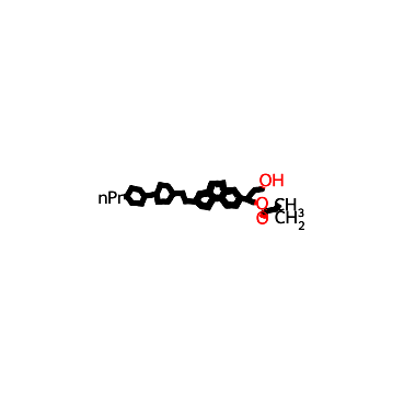 C=C(C)C(=O)OCC(CCO)c1ccc2c(ccc3cc(CCC4CCC(C5CCC(CCC)CC5)CC4)ccc32)c1